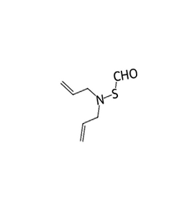 C=CCN(CC=C)SC=O